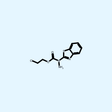 NN(C(=O)OCCCl)c1nc2ccccc2s1